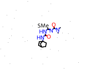 CSC(=NC(=O)N(C)C)NC(=O)NC12CCC(CC1)C2